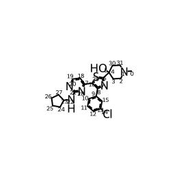 CN1CCC(O)(c2nc(-c3cccc(Cl)c3)c(-c3ccnc(NC4CCCC4)n3)s2)CC1